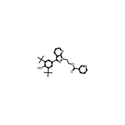 CC(C)(C)c1cc(-c2nn(CCOC(=O)c3cccnc3)c3ncccc23)cc(C(C)(C)C)c1O